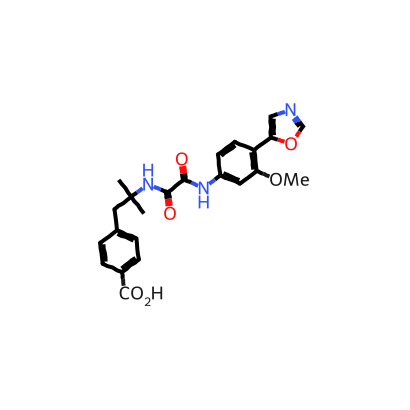 COc1cc(NC(=O)C(=O)NC(C)(C)Cc2ccc(C(=O)O)cc2)ccc1-c1cnco1